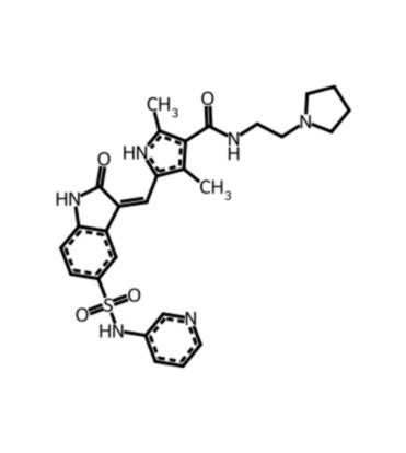 Cc1[nH]c(C=C2C(=O)Nc3ccc(S(=O)(=O)Nc4cccnc4)cc32)c(C)c1C(=O)NCCN1CCCC1